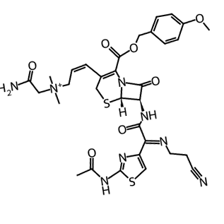 COc1ccc(COC(=O)C2=C(/C=C\C[N+](C)(C)CC(N)=O)CS[C@H]3[C@H](NC(=O)C(=NCCC#N)c4csc(NC(C)=O)n4)C(=O)N23)cc1